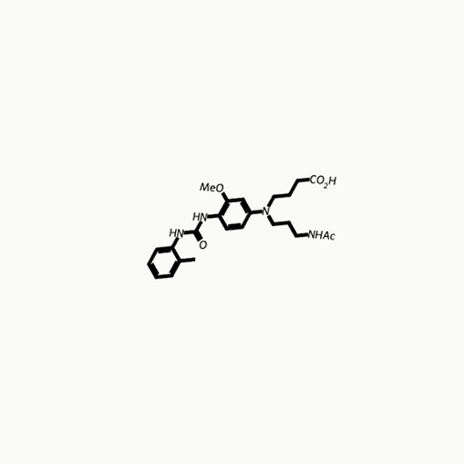 COc1cc(N(CCCNC(C)=O)CCCC(=O)O)ccc1NC(=O)Nc1ccccc1C